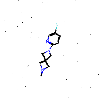 CN1CC2(C1)CN(c1ccc(F)cn1)C2